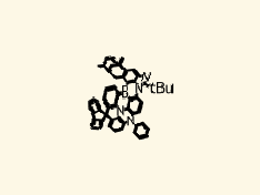 CC1CCC2(C)CC1Cc1c2cc2nc(C(C)(C)C)n3c2c1B1c2cccc4c2N2c5c(cccc5C45c4ccccc4-c4ccccc45)N(c4ccccc4)c4ccc-3c1c42